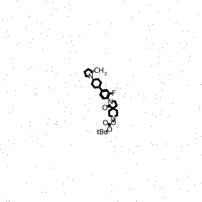 C[C@H]1CCCN1C1CCC(c2ccc(N3CCC4(CCN(OC(=O)OC(C)(C)C)CC4)C3=O)c(F)c2)CC1